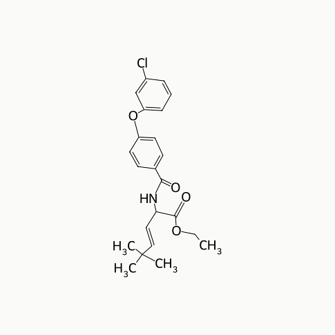 CCOC(=O)C(/C=C/C(C)(C)C)NC(=O)c1ccc(Oc2cccc(Cl)c2)cc1